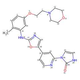 Cc1ccc(OCCN2CCOCC2)cc1Nc1ncc(-c2ccnc(-n3cc[nH]c3=O)c2)o1